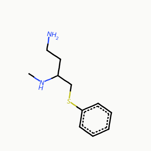 CNC(CCN)CSc1ccccc1